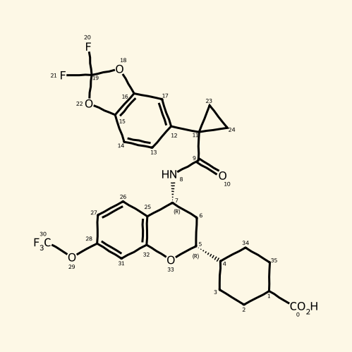 O=C(O)C1CCC([C@H]2C[C@@H](NC(=O)C3(c4ccc5c(c4)OC(F)(F)O5)CC3)c3ccc(OC(F)(F)F)cc3O2)CC1